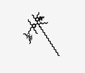 CCCCCCCCCCCCCCCCCCCCC=CC(C(=C=[N+]=[N-])CCCC)=C(c1cc(CCC)c(CCC)c(CCC)c1)c1cc(CCCC)c(CCCC)c(CCCC)c1.CCC[O][Pd][O]CCC